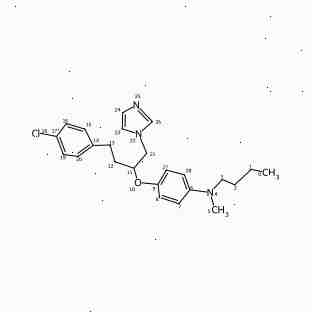 CCCCN(C)c1ccc(OC(CCc2ccc(Cl)cc2)Cn2ccnc2)cc1